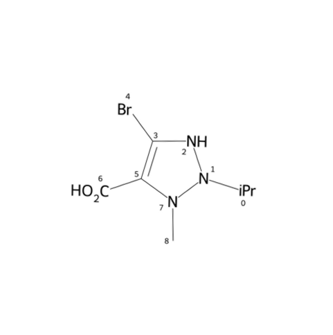 CC(C)N1NC(Br)=C(C(=O)O)N1C